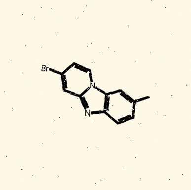 Cc1ccc2nc3cc(Br)ccn3c2c1